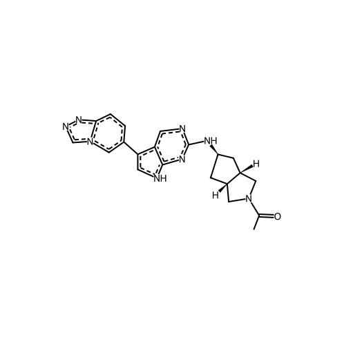 CC(=O)N1C[C@H]2C[C@H](Nc3ncc4c(-c5ccc6nncn6c5)c[nH]c4n3)C[C@H]2C1